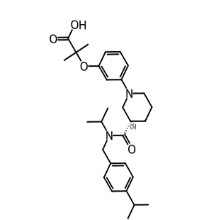 CC(C)c1ccc(CN(C(=O)[C@H]2CCCN(c3cccc(OC(C)(C)C(=O)O)c3)C2)C(C)C)cc1